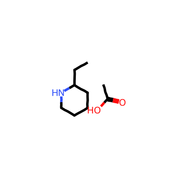 CC(=O)O.CCC1CCCCN1